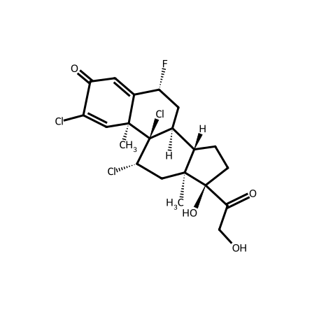 C[C@]12C=C(Cl)C(=O)C=C1[C@H](F)C[C@H]1[C@@H]3CC[C@](O)(C(=O)CO)[C@@]3(C)C[C@H](Cl)[C@@]12Cl